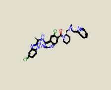 C[C@@H](Nc1ncnc2cc(C(=O)N3CCCC[C@@H]3CN(C)Cc3ccccn3)c(Cl)cc12)c1nc2cc(Cl)ccc2[nH]1